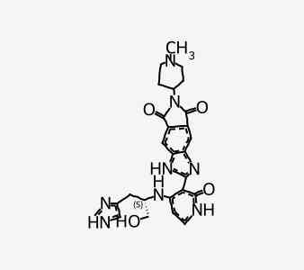 CN1CCC(N2C(=O)c3cc4nc(-c5c(N[C@H](CO)Cc6c[nH]cn6)cc[nH]c5=O)[nH]c4cc3C2=O)CC1